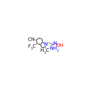 [C-]#[N+]c1ccc2c(cc(C)n2C/C(N)=N/O)c1C(F)(F)F